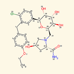 CCOc1ccc(Cc2cc([C@@H]3O[C@H](CN4C[C@H](O)C[C@H]4C(N)=O)[C@H](O)[C@@H](O)[C@H]3O)ccc2Cl)cc1